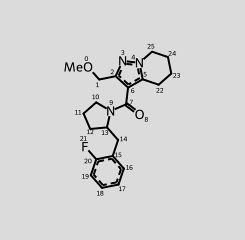 COCc1nn2c(c1C(=O)N1CCCC1Cc1ccccc1F)CCCC2